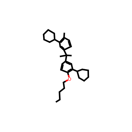 CCCCCOc1ccc(C(C)(C)c2ccc(C)c(C3CCCCC3)c2)cc1C1CCCCC1